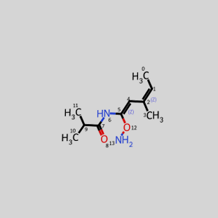 C/C=C(C)\C=C(\NC(=O)C(C)C)ON